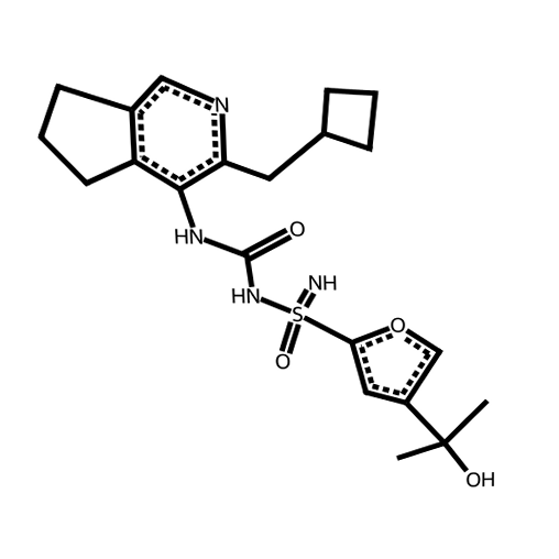 CC(C)(O)c1coc(S(=N)(=O)NC(=O)Nc2c(CC3CCC3)ncc3c2CCC3)c1